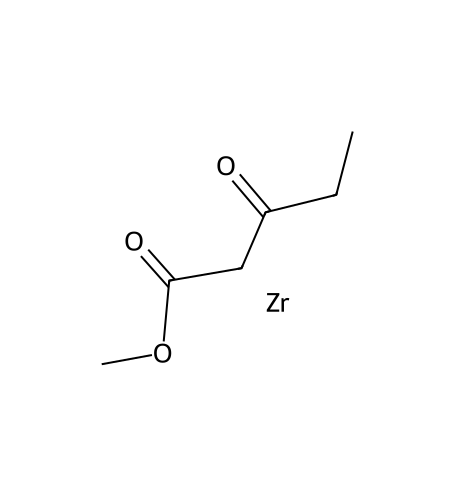 CCC(=O)CC(=O)OC.[Zr]